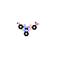 COc1ccc(Cl)c(Nc2nc3ccccc3nc2NS(=O)(=O)c2cccc([N+](=O)[O-])c2)c1